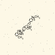 Cc1nc2ccc(OC[C@H](O)CN3CCN(CC(=O)Nc4c(C)cccc4C)C[C@H]3C)cc2s1